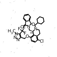 Cn1nnc(COc2ccc(Cl)c3c2[C@@H](CN2Cc4ccccc4C2=O)N(C(=O)C2CCCCC2)CC3)c1C(F)(F)F